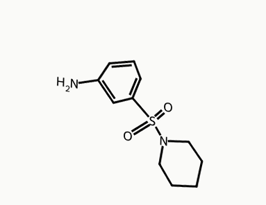 Nc1cccc(S(=O)(=O)N2CCCCC2)c1